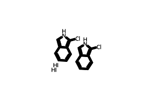 Clc1[nH]cc2ccccc12.Clc1[nH]cc2ccccc12.I.I